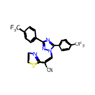 N#C/C(=C/n1nc(-c2ccc(C(F)(F)F)cc2)nc1-c1ccc(C(F)(F)F)cc1)c1nccs1